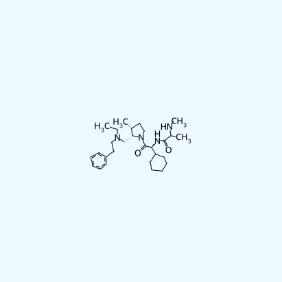 CCN(CCc1ccccc1)C[C@@H]1[C@H](C)CCN1C(=O)[C@@H](NC(=O)C(C)NC)C1CCCCC1